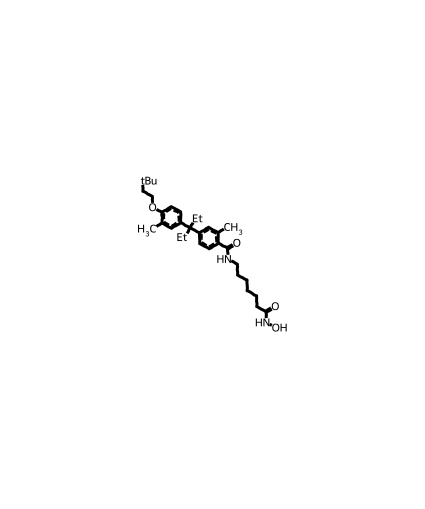 CCC(CC)(c1ccc(OCCC(C)(C)C)c(C)c1)c1ccc(C(=O)NCCCCCCC(=O)NO)c(C)c1